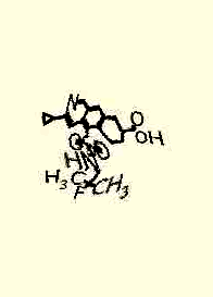 CC(C)(F)CNS(=O)(=O)c1c2c(cc3cnc(C4CC4)cc13)CC(C(=O)O)CC2